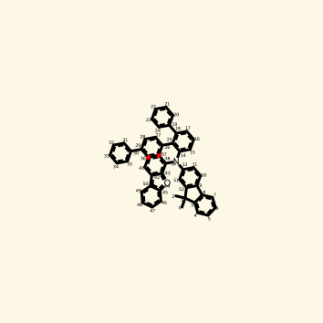 CC1(C)c2ccccc2-c2ccc(N(c3cccc(-c4ccccc4)c3-c3ccc(-c4ccccc4)cc3)c3cccc4c3oc3ccccc34)cc21